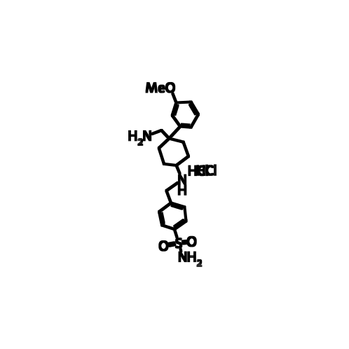 COc1cccc(C2(CN)CCC(NCc3ccc(S(N)(=O)=O)cc3)CC2)c1.Cl.Cl